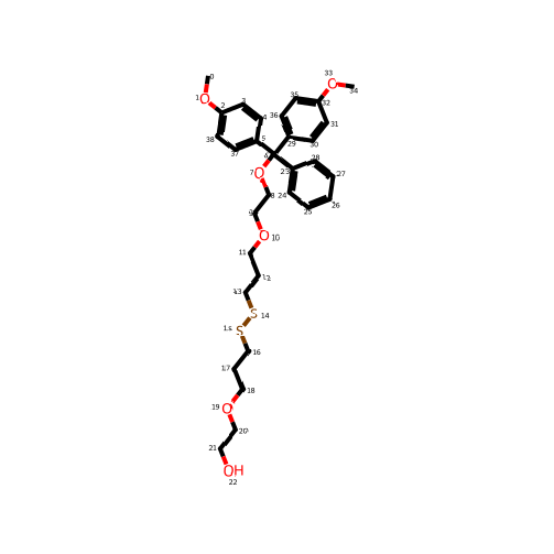 COc1ccc(C(OCCOCCCSSCCCOCCO)(c2ccccc2)c2ccc(OC)cc2)cc1